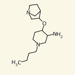 CCCCN1CCC(OC2CN3CCC2C3)C(N)C1